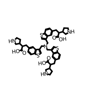 O=C(O)C(Cc1ccc2scc(CN(Cc3csc4ccc(CC(C(=O)O)C5CCNC5)cc34)Cc3csc4ccc(CC(C(=O)O)C5CCNC5)cc34)c2c1)C1CCNC1